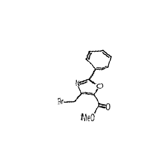 COC(=O)c1oc(-c2ccccc2)nc1CBr